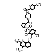 Cc1cc(C)c2cccc(OCc3c(Cl)ccc(S(=O)(=O)N4CCCC4C(=O)N4CCN(C(=O)c5ccc(C#N)cn5)CC4)c3Cl)c2n1